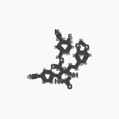 N#Cc1ccc(C2NC(=O)NC(CCc3ccc4c(c3)OCO4)=C2C(=O)OCc2ccc(F)c(C#N)c2)cc1